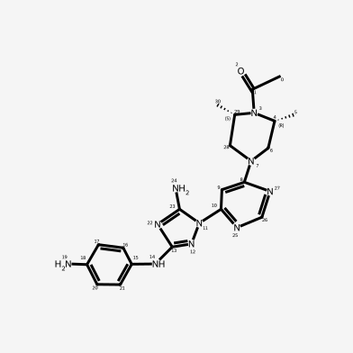 CC(=O)N1[C@H](C)CN(c2cc(-n3nc(Nc4ccc(N)cc4)nc3N)ncn2)C[C@@H]1C